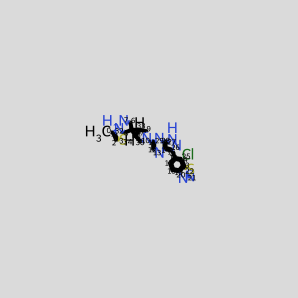 Cc1csc(C2(CN)[C@@H]3CN(c4cnc5c(-c6ccc7nnsc7c6Cl)n[nH]c5n4)C[C@@H]32)n1